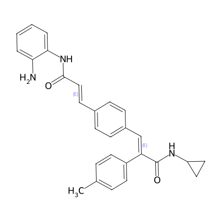 Cc1ccc(/C(=C\c2ccc(/C=C/C(=O)Nc3ccccc3N)cc2)C(=O)NC2CC2)cc1